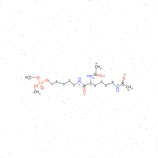 COP(=O)(OC)OCCCCCNC(=O)C(CCCCNC(C)=O)NC(C)=O